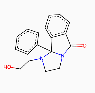 O=C1c2ccccc2C2(c3ccccc3)N(CCO)CCN12